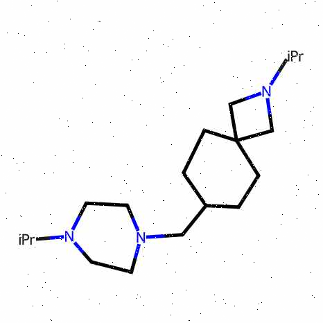 CC(C)N1CCN(CC2CCC3(CC2)CN(C(C)C)C3)CC1